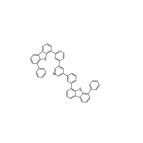 c1ccc(-c2cccc3c2sc2c(-c4cccc(-c5cncc(-c6cccc(-c7cccc8c7sc7c(-c9ccccc9)cccc78)c6)c5)c4)cccc23)cc1